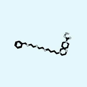 CC(C)(C)OC(=O)N1CCC2(CC1)CN(CCCCOCCOCCOCc1ccccc1)CCO2